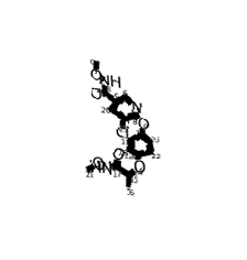 CONC(=O)c1cnc(Oc2ccc(OC(C)C(=O)NOC)cc2)c(Cl)c1